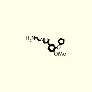 COc1ccc(C(C)CNCCN)cc1OC1CCCC1